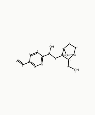 C=Cc1ccc(C(O)CC2C3CCC(O3)C2CO)cc1